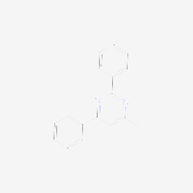 Cc1cc(-c2ccccc2)nc(-c2ccccc2)n1